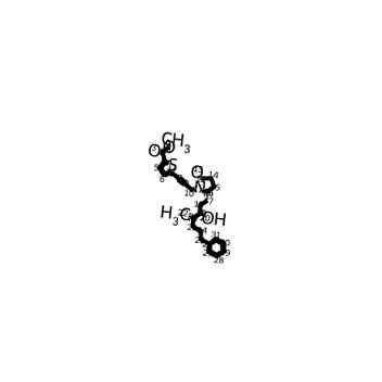 COC(=O)c1ccc(C#CCN2C(=O)CC[C@@H]2CC[C@@H](O)[C@@H](C)CCCc2ccccc2)s1